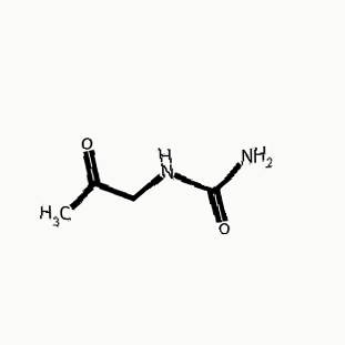 CC(=O)CNC(N)=O